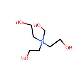 OCC[N+](CO)(CCO)CCO